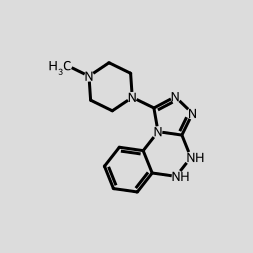 CN1CCN(c2nnc3n2-c2ccccc2NN3)CC1